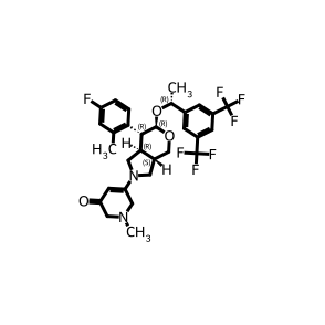 Cc1cc(F)ccc1[C@@H]1[C@@H](O[C@H](C)c2cc(C(F)(F)F)cc(C(F)(F)F)c2)OC[C@@H]2CN(C3=CC(=O)CN(C)C3)C[C@H]21